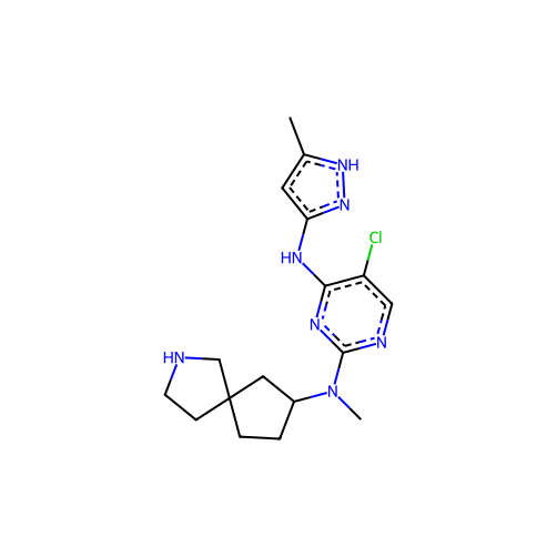 Cc1cc(Nc2nc(N(C)C3CCC4(CCNC4)C3)ncc2Cl)n[nH]1